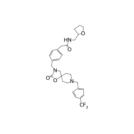 O=C(Cc1ccc(CN2CC3(CCN(Cc4ccc(C(F)(F)F)cc4)CC3)OC2=O)cc1)NCC1CCCO1